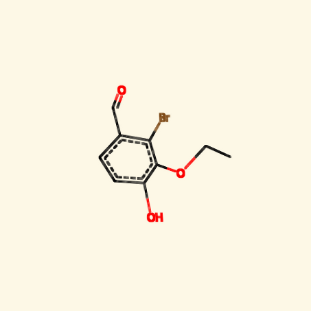 CCOc1c(O)ccc(C=O)c1Br